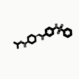 CC(C)SN[C@H]1CC[C@H](CNc2ccc(NS(=O)(=O)c3ccccc3)cc2)CC1